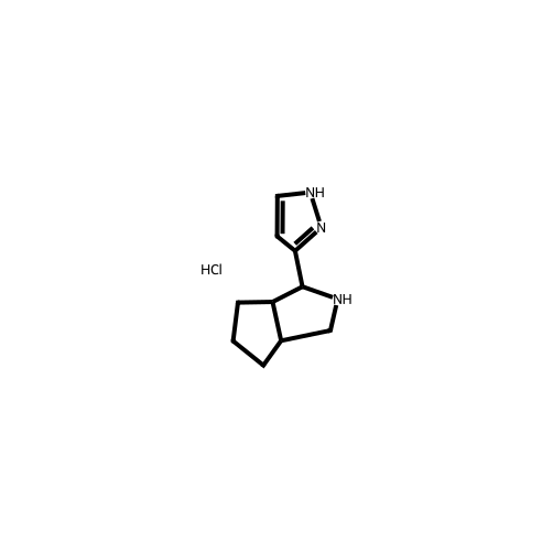 Cl.c1cc(C2NCC3CCCC32)n[nH]1